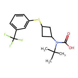 CC(C)(C)N(C(=O)O)C1CC(Sc2cccc(C(F)(F)F)c2)C1